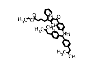 CCOC(=O)CCCc1c(C)c(C(=O)c2ccc(NC(c3ccc(CC(C)C)cc3)c3ccc(CC(C)C)cc3)cc2)n2ccccc12